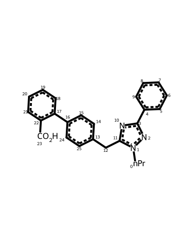 CCCn1nc(-c2ccccc2)nc1Cc1ccc(-c2ccccc2C(=O)O)cc1